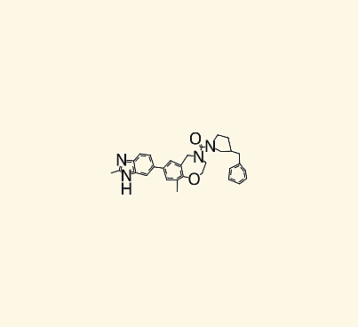 Cc1nc2ccc(-c3cc(C)c4c(c3)CN(C(=O)N3CCC(Cc5ccccc5)C3)CCO4)cc2[nH]1